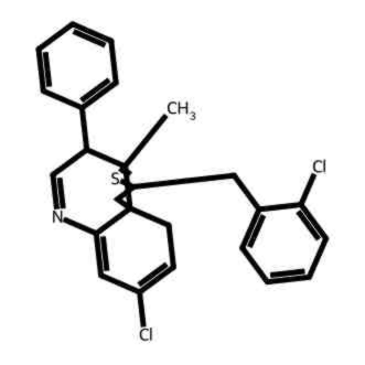 CS1=C2C(c3ccccc3)C=NC3=CC(Cl)=CCC32CC1Cc1ccccc1Cl